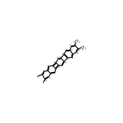 Cc1cc2cc3c(cc2cc1C)c1cc2c4cc5cc(C(F)(F)F)c(C(F)(F)F)cc5cc4c2cc31